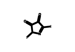 O=C1C(=O)C(I)N=C1I